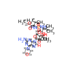 CCOC(=O)[C@@H](NP(=O)(N[C@H](C(=O)OCC)C(C)C)OC[C@H]1OC(n2cnc3c(N4CCOCC4)nc(N)nc32)[C@@](C)(O)C1O)C(C)C